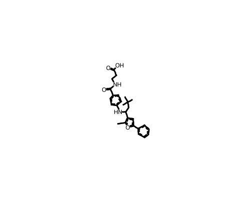 Cc1oc(-c2ccccc2)cc1C(CC(C)(C)C)Nc1ccc(C(=O)NCCC(=O)O)cc1